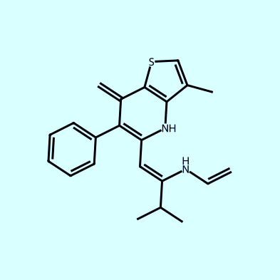 C=CN/C(=C\C1=C(c2ccccc2)C(=C)c2scc(C)c2N1)C(C)C